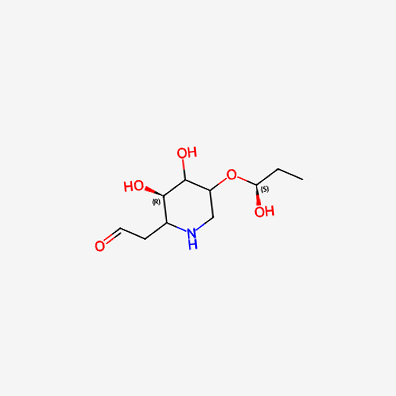 CC[C@@H](O)OC1CNC(CC=O)[C@@H](O)C1O